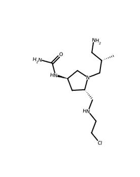 C[C@@H](CN)CN1C[C@H](NC(N)=O)C[C@H]1CNCCCl